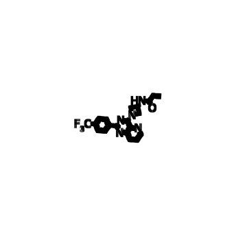 C=CC(=O)NC1CN(c2nc(-c3ccc(C(F)(F)F)cc3)nc3cccnc23)C1